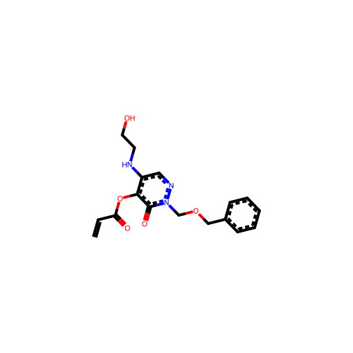 C=CC(=O)Oc1c(NCCO)cnn(COCc2ccccc2)c1=O